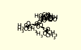 CC(C)(C)C(=O)SCCOP(=O)(OCCSC(=O)C(C)(C)C)OC[C@@]1(F)O[C@@H](n2ccc(=O)[nH]c2=O)C(C)(O)[C@@H]1O